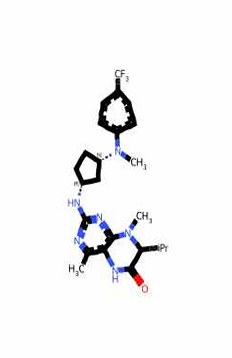 Cc1nc(N[C@@H]2CC[C@H](N(C)c3ccc(C(F)(F)F)cc3)C2)nc2c1NC(=O)C(C(C)C)N2C